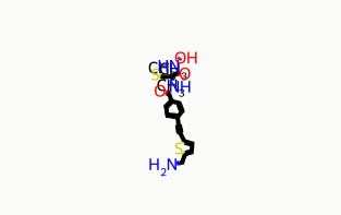 CSC(C)(C)C(NC(=O)c1ccc(C#Cc2ccc(CN)s2)cc1)C(=O)NO